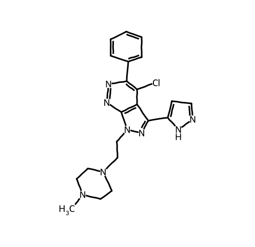 CN1CCN(CCn2nc(-c3ccn[nH]3)c3c(Cl)c(-c4ccccc4)nnc32)CC1